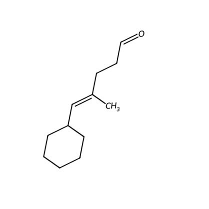 C/C(=C\C1CCCCC1)CCC=O